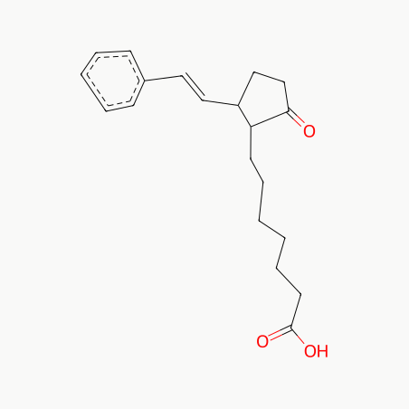 O=C(O)CCCCCCC1C(=O)CCC1/C=C/c1ccccc1